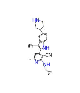 Cc1cc(-c2[nH]c3ccc(C4CCNCC4)cc3c2C(C)C)c(C#N)c(NCC2CC2)n1